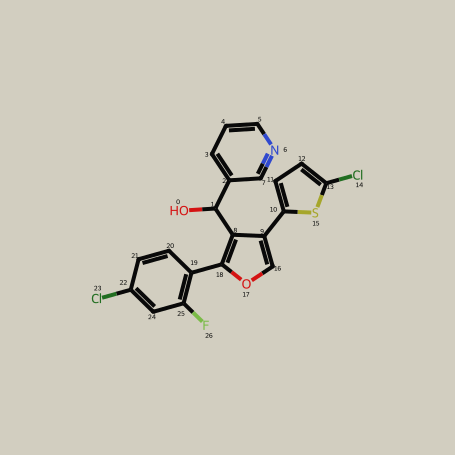 OC(c1cccnc1)c1c(-c2ccc(Cl)s2)coc1-c1ccc(Cl)cc1F